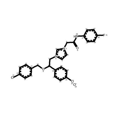 O=C(Cn1cc[n+](CC(OCc2ccc(Cl)cc2)c2ccc(Cl)cc2)c1)Nc1ccc(F)cc1.[Cl-]